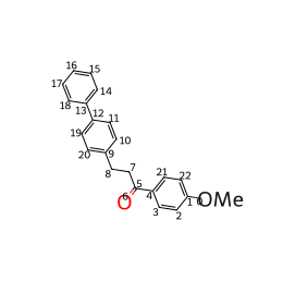 COc1ccc(C(=O)CCc2ccc(-c3ccccc3)cc2)cc1